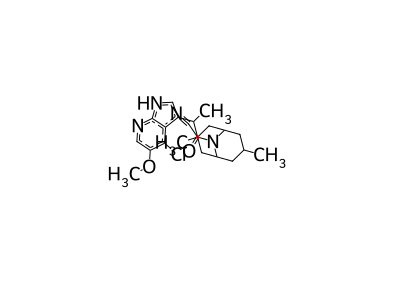 COc1cnc2[nH]cc(C(C)C(=O)N3C4CC(C)CC3CC(C)(C#N)C4)c2c1Cl